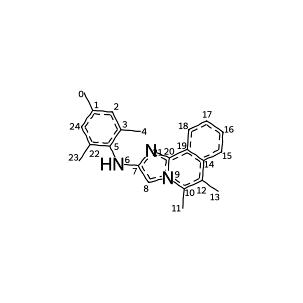 Cc1cc(C)c(Nc2cn3c(C)c(C)c4ccccc4c3n2)c(C)c1